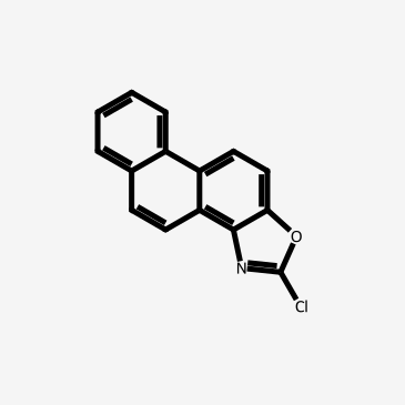 Clc1nc2c(ccc3c4ccccc4ccc32)o1